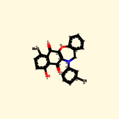 COc1ccc(O)c2c1C(=O)C1=C(C2=O)N(c2cccc(C#N)c2)Cc2ccccc2O1